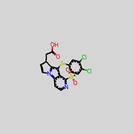 CS(=O)(=O)c1nccc2c1c(Sc1ccc(Cl)c(Cl)c1)c1n2C=CC1CC(=O)O